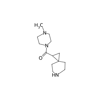 CN1CCN(C(=O)C2CC23CCNCC3)CC1